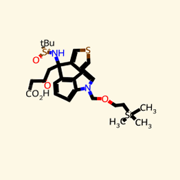 CC(C)(C)[S+]([O-])NC(CC(=O)CC(=O)O)(c1ccsc1)c1cccc2c1ccn2COCC[Si](C)(C)C